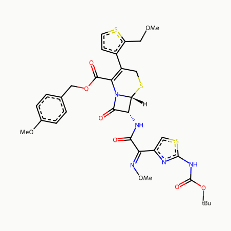 COCc1sccc1C1=C(C(=O)OCc2ccc(OC)cc2)N2C(=O)[C@@H](NC(=O)/C(=N/OC)c3csc(NC(=O)OC(C)(C)C)n3)[C@H]2SC1